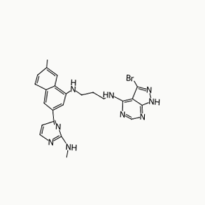 CNc1nccc(-c2cc(NCCCNc3ncnc4[nH]nc(Br)c34)c3cc(C)ccc3c2)n1